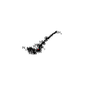 CCCCCCCCCC=CC=CC(=O)SCCNC(=O)CCNC(=O)[C@H](O)C(C)(C)COP(=O)(O)OP(=O)(O)OC[C@H]1O[C@@H](n2cnc3c(N)ncnc32)[C@H](O)[C@@H]1OP(=O)(O)O